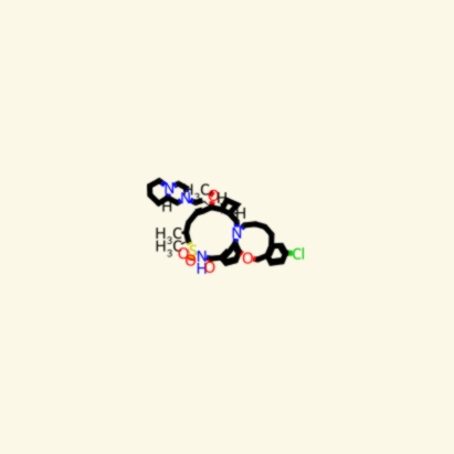 CO[C@]1(CCN2CCN3CCCC[C@@H]3C2)/C=C/C[C@H](C)[C@@H](C)S(=O)(=O)NC(=O)c2ccc3c(c2)N(CCCCc2cc(Cl)ccc2CO3)C[C@@H]2CC[C@H]21